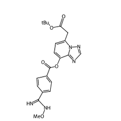 CONC(=N)c1ccc(C(=O)Oc2ccc(CC(=O)OC(C)(C)C)n3ncnc23)cc1